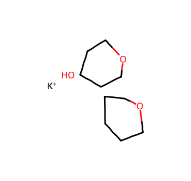 C1CCOCC1.C1CCOCC1.[K+].[OH-]